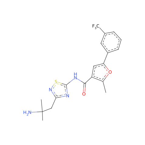 Cc1oc(-c2cccc(C(F)(F)F)c2)cc1C(=O)Nc1nc(CC(C)(C)N)ns1